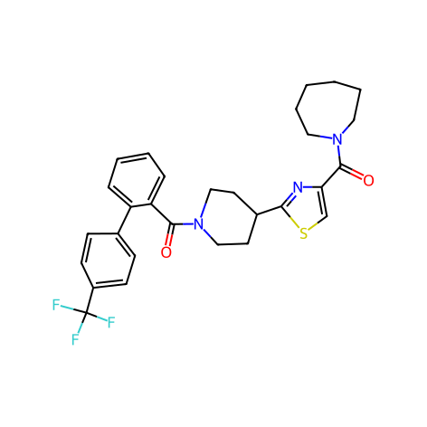 O=C(c1csc(C2CCN(C(=O)c3ccccc3-c3ccc(C(F)(F)F)cc3)CC2)n1)N1CCCCCC1